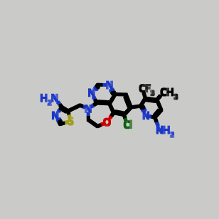 Cc1cc(N)nc(-c2cc3ncnc4c3c(c2Cl)OCCN4Cc2scnc2N)c1C(F)(F)F